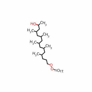 CCCCCCCCOOCCCC(C)CC(C)CC(C)CC(C)CC(C)CC(C)O